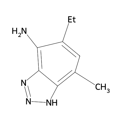 CCc1cc(C)c2[nH]nnc2c1N